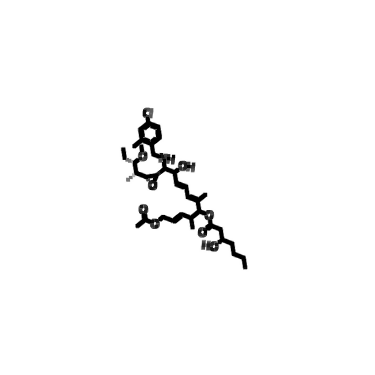 CCCC[C@@H](O)CC(=O)OC(/C(C)=C/C=C/C(O)C(NCc1ccc(Cl)cc1C)[C@H]1O[C@@H]1[C@H](C)[C@H](CC)OC)C(C)/C=C/COC(C)=O